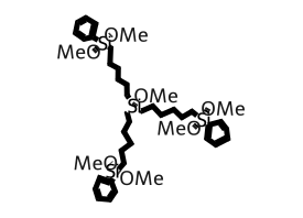 CO[Si](CCCCCC[Si](OC)(OC)c1ccccc1)(CCCCCC[Si](OC)(OC)c1ccccc1)CCCCCC[Si](OC)(OC)c1ccccc1